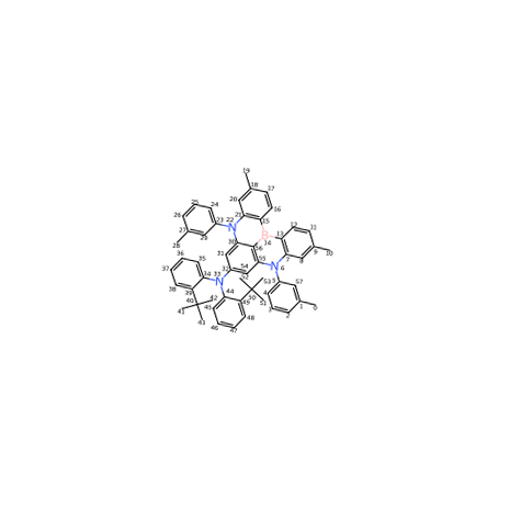 Cc1cccc(N2c3cc(C)ccc3B3c4ccc(C)cc4N(c4cccc(C)c4)c4cc(N(c5ccccc5C(C)(C)C)c5ccccc5C(C)(C)C)cc2c43)c1